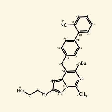 CCCCc1nc(C)n2nc(OCCO)nc2c1Cc1ccc(-c2ccccc2C#N)cc1